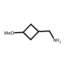 COC1CC(CN)C1